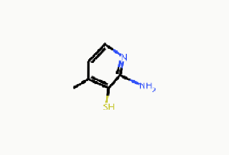 Cc1ccnc(N)c1S